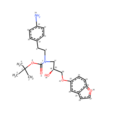 CC(C)(C)OC(=O)N(CCc1ccc(N)cc1)C[C@H](O)COc1ccc2occc2c1